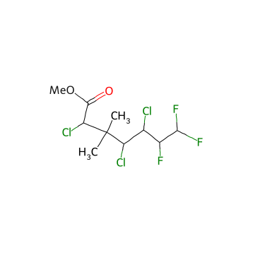 COC(=O)C(Cl)C(C)(C)C(Cl)C(Cl)C(F)C(F)F